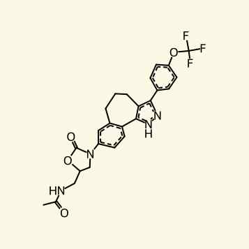 CC(=O)NCC1CN(c2ccc3c(c2)CCCc2c(-c4ccc(OC(F)(F)F)cc4)n[nH]c2-3)C(=O)O1